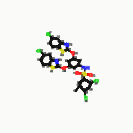 Cc1cc(S(=O)(=O)Nc2cc(Oc3nc4cc(Cl)ccc4s3)cc(Oc3nc4cc(Cl)ccc4s3)c2)c(Cl)cc1Cl